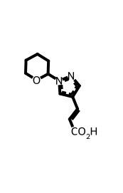 O=C(O)C=Cc1cnn(C2CCCCO2)c1